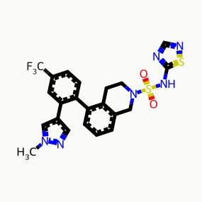 Cn1cc(-c2cc(C(F)(F)F)ccc2-c2cccc3c2CCN(S(=O)(=O)Nc2ncns2)C3)cn1